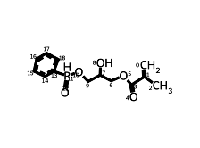 C=C(C)C(=O)OCC(O)CO[PH](=O)c1ccccc1